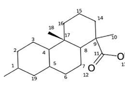 CC1CCC2C(CCC3C(C)(C(=O)O)CCC[C@@]23C)C1